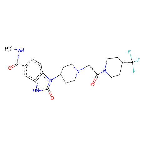 CNC(=O)c1ccc2c(c1)[nH]c(=O)n2C1CCN(CC(=O)N2CCC(C(F)(F)F)CC2)CC1